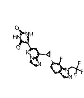 O=c1[nH]cc(-c2cc([C@H]3C[C@@H]3c3ccc4cnn(CC(F)(F)F)c4c3F)c3nccn3n2)c(=O)[nH]1